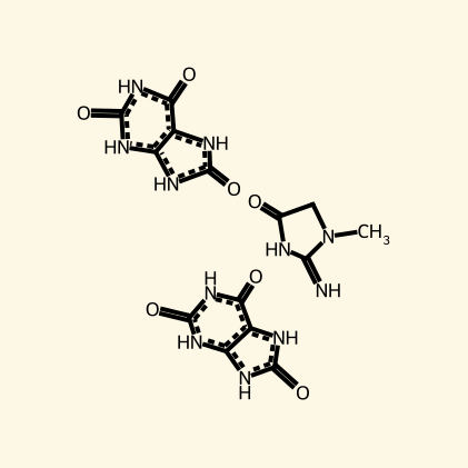 CN1CC(=O)NC1=N.O=c1[nH]c(=O)c2[nH]c(=O)[nH]c2[nH]1.O=c1[nH]c(=O)c2[nH]c(=O)[nH]c2[nH]1